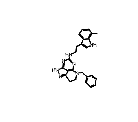 Cc1cccc2c(CCNc3nc4c5c(n[nH]c5n3)CCN4Cc3ccccc3)c[nH]c12